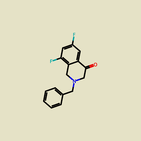 O=C1CN(Cc2ccccc2)Cc2c(F)cc(F)cc21